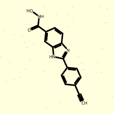 C#Cc1ccc(-c2nc3ccc(C(=O)NO)cc3[nH]2)cc1